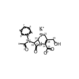 CC(=O)N(c1ccccc1)C1C(=O)N2C(C(=O)[O-])=C(CO)CSC12.[K+]